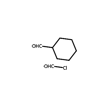 O=[C]C1CCCCC1.O=[C]Cl